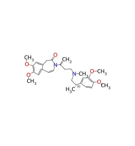 C=C(CCN(C)C[C@@H](C)c1ccc(OC)c(OC)c1)N1C=Cc2cc(OC)c(OC)cc2CC1=O